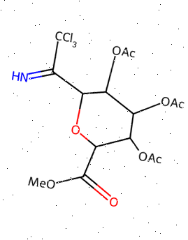 COC(=O)C1OC(C(=N)C(Cl)(Cl)Cl)C(OC(C)=O)C(OC(C)=O)C1OC(C)=O